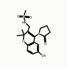 CC1(C)Oc2ccc(C#N)cc2C(N2CCCC2=O)=C1CNS(C)(=O)=O